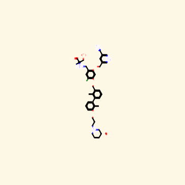 Cc1c(COc2cc(OCc3cncc(C#N)c3)c(CNC(C)(CO)C(=O)O)cc2Cl)cccc1-c1cccc(OCCCN2CCC[C@@H](C(=O)O)C2)c1C